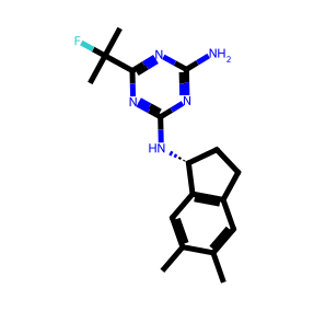 Cc1cc2c(cc1C)[C@H](Nc1nc(N)nc(C(C)(C)F)n1)CC2